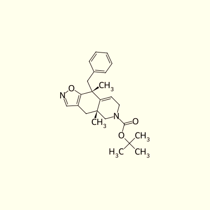 CC(C)(C)OC(=O)N1CC=C2[C@@](C)(Cc3cnoc3[C@]2(C)Cc2ccccc2)C1